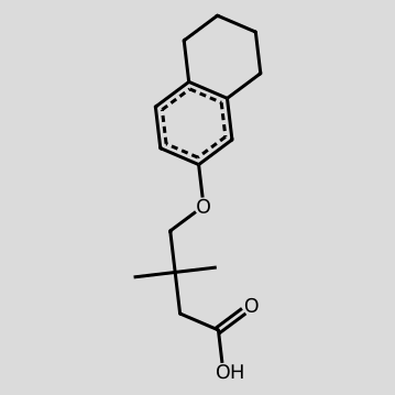 CC(C)(COc1ccc2c(c1)CCCC2)CC(=O)O